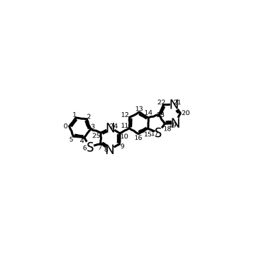 c1ccc2c(c1)sc1ncc(-c3ccc4c(c3)sc3ncncc34)nc12